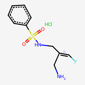 Cl.NC/C(=C\F)CNS(=O)(=O)c1ccccc1